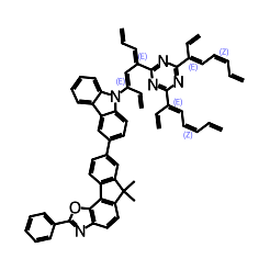 C=C/C=C\C=C(/C=C)c1nc(/C(C=C)=C/C=C\C=C)nc(C(=C/C=C)/C=C(\C=C)n2c3ccccc3c3cc(-c4ccc5c(c4)C(C)(C)c4ccc6nc(-c7ccccc7)oc6c4-5)ccc32)n1